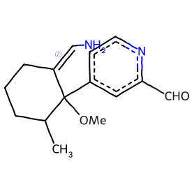 COC1(c2ccnc(C=O)c2)/C(=C\N)CCCC1C